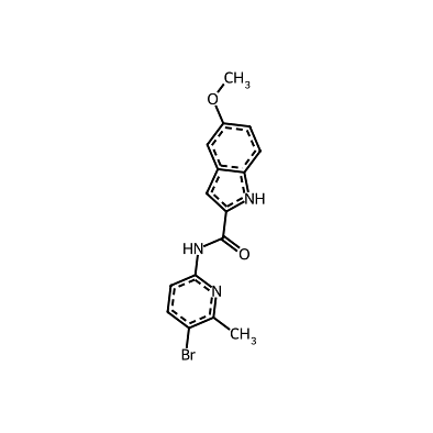 COc1ccc2[nH]c(C(=O)Nc3ccc(Br)c(C)n3)cc2c1